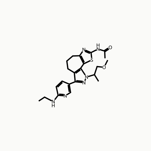 CCNc1ccc(-c2nn(C(C)COC)c3c2CCCc2nc(NC(C)=O)sc2-3)cn1